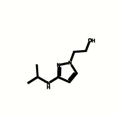 CC(C)Nc1ccn(CCO)n1